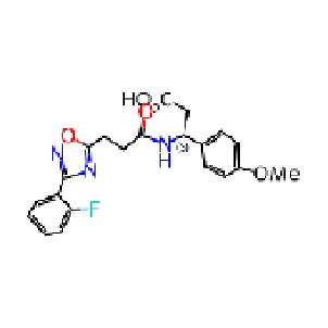 COc1ccc([C@H](CC(=O)O)NC(=O)CCc2nc(-c3ccccc3F)no2)cc1